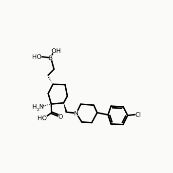 N[C@]1(C(=O)O)C[C@H](CCB(O)O)CC[C@H]1CN1CCC(c2ccc(Cl)cc2)CC1